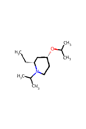 CC[C@@H]1C[C@H](OC(C)C)CCN1C(C)C